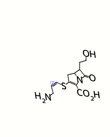 NC/C=C\SC1=C(C(=O)O)N2C(=O)C(CCO)C2C1